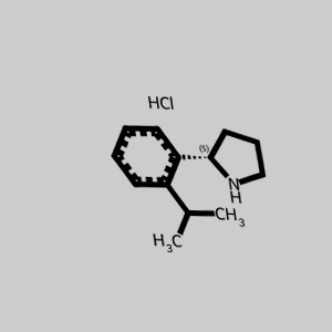 CC(C)c1ccccc1[C@@H]1CCCN1.Cl